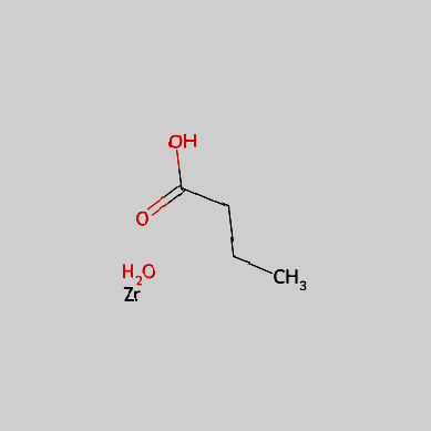 CCCC(=O)O.O.[Zr]